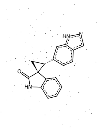 O=C1Nc2ccccc2[C@]12C[C@@H]2c1ccc2cn[nH]c2c1